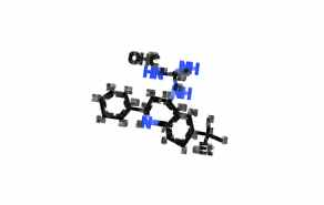 CCC(C)(C)c1ccc2nc(-c3ccccc3)cc(NC(=N)NC=O)c2c1